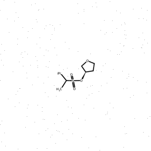 CC(C)C(C)S(=O)(=O)O[C@@H]1CCOC1